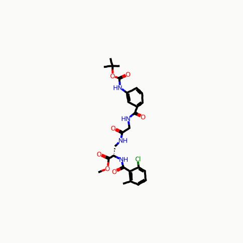 COC(=O)[C@H](CNC(=O)CNC(=O)c1cccc(NC(=O)OC(C)(C)C)c1)NC(=O)c1c(C)cccc1Cl